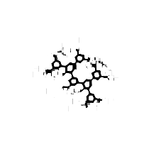 C=Cc1c(-c2cc(-c3cc(-c4cc(C(C)(C)C)cc(C(C)(C)C)c4)cc(-c4cc(C(C)(C)C)cc(C(C)(C)C)c4)c3C=C)cc(C(O)C=C)c2)cc(-c2cc(C(C)(C)C)cc(C(C)(C)C)c2)cc1-c1cc(C(C)(C)C)cc(C(C)(C)C)c1